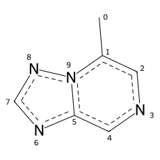 Cc1cncc2ncnn12